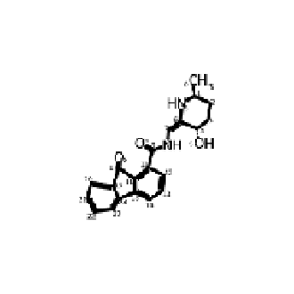 C[C@H]1CC[C@H](O)/C(=C\NC(=O)c2cccc3c2C(=O)c2ccccc2-3)N1